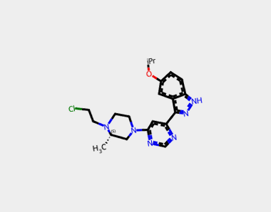 CC(C)Oc1ccc2[nH]nc(-c3cc(N4CCN(CCCl)[C@@H](C)C4)ncn3)c2c1